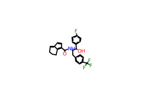 O=C(NC(Cc1ccc(C(F)(F)F)cc1)C(O)c1ccc(F)cc1)C1=C2CCCC=C2C=C1